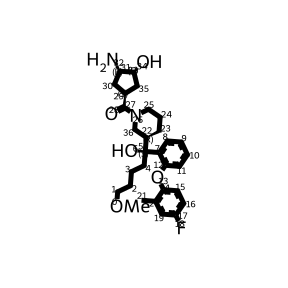 COCCCC[C@@](O)(c1ccccc1Oc1ccc(F)cc1C)[C@@H]1CCCN(C(=O)[C@H]2C[C@@H](N)[C@@H](O)C2)C1